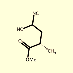 [C-]#[N+]C(C#N)C[C@H](C)C(=O)OC